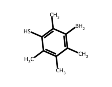 Bc1c(C)c(C)c(C)c(S)c1C